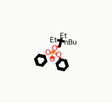 CCCCC(CC)(CC)COP(=O)(Oc1ccccc1)Oc1ccccc1